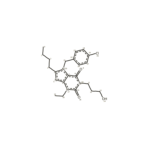 CCCCc1nc2c(c(=O)n(CCCO)c(=O)n2CC)n1Cc1ccc(Cl)cc1